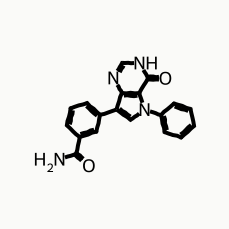 NC(=O)c1cccc(-c2cn(-c3ccccc3)c3c(=O)[nH]cnc23)c1